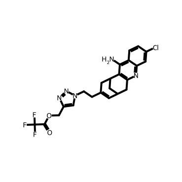 Nc1c2c(nc3cc(Cl)ccc13)CC1C=C(CCn3cc(COC(=O)C(F)(F)F)nn3)CC2C1